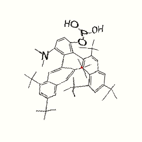 CN(C)c1ccc(OP(O)O)c(-c2cc3c(C(C)(C)C)cc(C(C)(C)C)cc3cc2C(C)(C)C)c1-c1cc2c(C(C)(C)C)cc(C(C)(C)C)cc2cc1C(C)(C)C